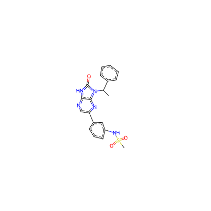 CC(c1ccccc1)n1c(=O)[nH]c2ncc(-c3cccc(NS(C)(=O)=O)c3)nc21